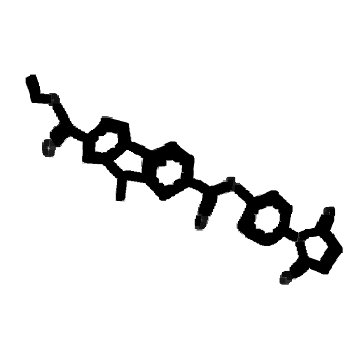 C=COC(=O)c1ccc2c(c1)C(C)c1cc(C(=O)Sc3ccc(N4C(=O)C=CC4=O)cc3)ccc1-2